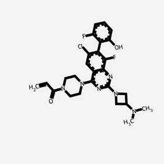 C=CC(=O)N1CCN(c2nc(N3CC(N(C)C)C3)nc3c(F)c(-c4c(O)cccc4F)c(Cl)cc23)CC1